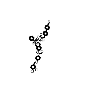 N#Cc1ccc(-c2ccc(CC(NC(=O)[C@@H]3Cc4cc5c(cc4CN3S(=O)(=O)c3ccccc3)O[C@@H](c3ccc(OCc4ccc(Cl)c(Cl)c4)cc3)CO5)C(=O)O)cc2)cc1